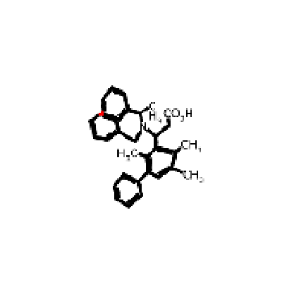 Cc1cc(-c2ccccc2)c(C)c(C(CC(=O)O)N(Cc2ccccc2)[C@H](C)c2ccccc2)c1C